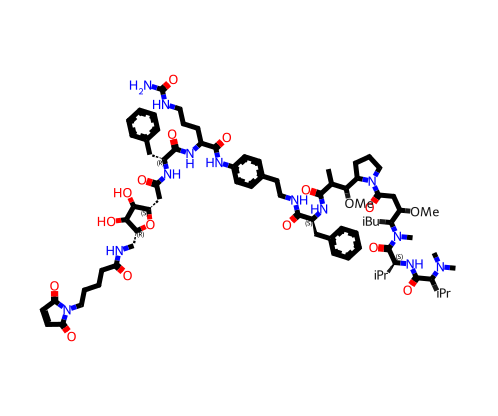 CCC(C)C(C(CC(=O)N1CCCC1C(OC)C(C)C(=O)N[C@@H](Cc1ccccc1)C(=O)NCCc1ccc(NC(=O)C(CCCNC(N)=O)NC(=O)[C@@H](Cc2ccccc2)NC(=O)C[C@@H]2O[C@H](CNC(=O)CCCCN3C(=O)C=CC3=O)C(O)C2O)cc1)OC)N(C)C(=O)[C@@H](NC(=O)C(C(C)C)N(C)C)C(C)C